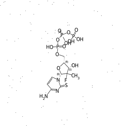 CC1(F)[C@@H](O)[C@@H](COP(=O)(O)OP(=O)(O)OP(=O)(O)O)O[C@H]1n1ccc(N)nc1=S